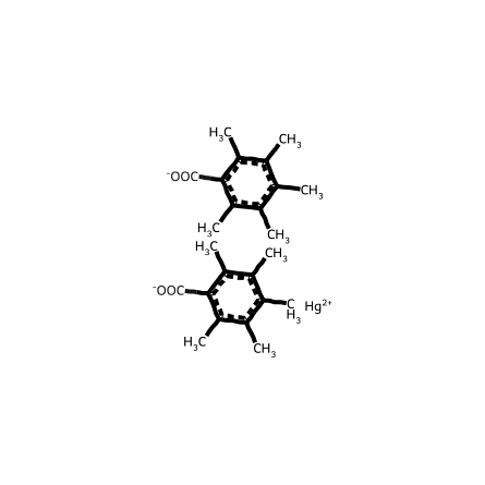 Cc1c(C)c(C)c(C(=O)[O-])c(C)c1C.Cc1c(C)c(C)c(C(=O)[O-])c(C)c1C.[Hg+2]